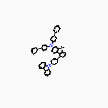 CC1(C)c2cc(N(c3ccc(-c4ccccc4)cc3)c3ccc(-c4ccccc4)cc3)ccc2-c2c(C3=CC=C(n4c5ccccc5c5ccccc54)CC3)cccc21